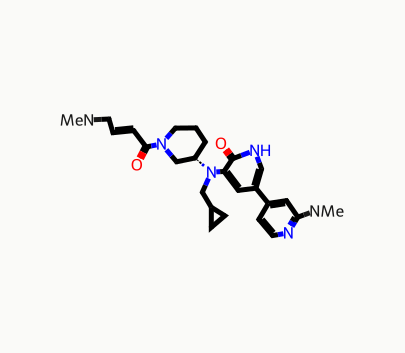 CNCC=CC(=O)N1CCC[C@H](N(CC2CC2)c2cc(-c3ccnc(NC)c3)c[nH]c2=O)C1